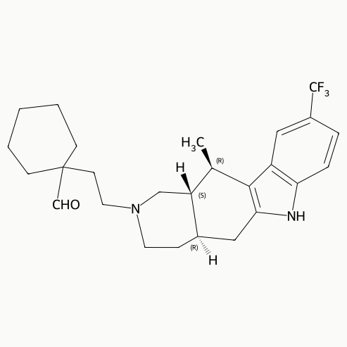 C[C@H]1c2c([nH]c3ccc(C(F)(F)F)cc23)C[C@H]2CCN(CCC3(C=O)CCCCC3)C[C@@H]21